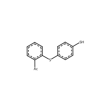 CC(=O)c1ccccc1Sc1ccc(S)cc1